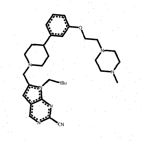 CN1CCN(CCOc2cccc(C3CCN(Cc4cc5cnc(C#N)nc5n4CC(C)(C)C)CC3)c2)CC1